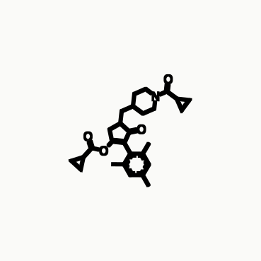 Cc1cc(C)c(C2=C(OC(=O)C3CC3)CC(CC3CCN(C(=O)C4CC4)CC3)C2=O)c(C)c1